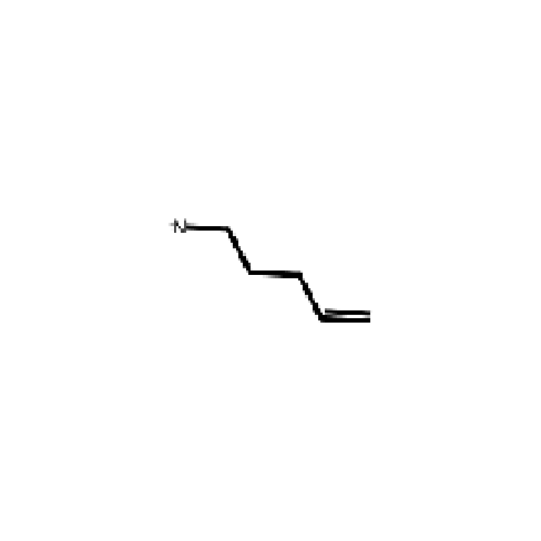 C=CCCC[N]